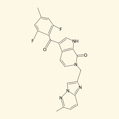 Cc1cc(F)c(C(=O)c2c[nH]c3c(=O)n(Cc4cn5nc(C)ccc5n4)ccc23)c(F)c1